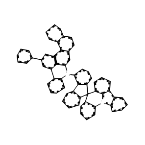 c1ccc(-c2cccc(-c3ccccc3N(c3ccc4c(ccc5ccccc54)c3)c3cccc4c3-c3ccccc3C43c4ccccc4-n4c5ccccc5c5cccc3c54)c2)cc1